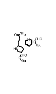 CC(C)(C)OC=O.CC(C)(C)OC=O.NC(=O)CCC1CCCCN1.c1ccncc1